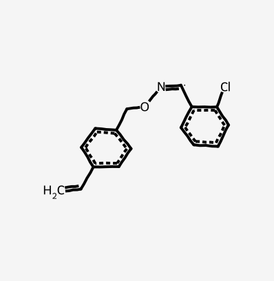 C=Cc1ccc(CO/N=[C]\c2ccccc2Cl)cc1